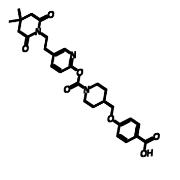 CC1(C)CC(=O)N(CCc2ccc(OC(=O)N3CCC(COc4ccc(C(=O)O)cc4)CC3)nc2)C(=O)C1